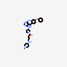 CN1CCC(NC/C=C/C(=O)N2CC[C@@H](n3nc(-c4ccc(Oc5ccccc5)cc4)c4c(N)ncnc43)C2)CC1